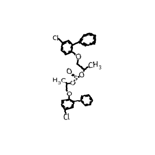 CC(COc1ccc(Cl)cc1-c1ccccc1)OS(=O)OC(C)COc1ccc(Cl)cc1-c1ccccc1